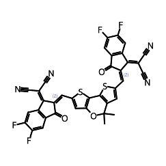 CC1(C)Oc2cc(/C=C3\C(=O)c4cc(F)c(F)cc4C3=C(C#N)C#N)sc2-c2sc(/C=C3\C(=O)c4cc(F)c(F)cc4C3=C(C#N)C#N)cc21